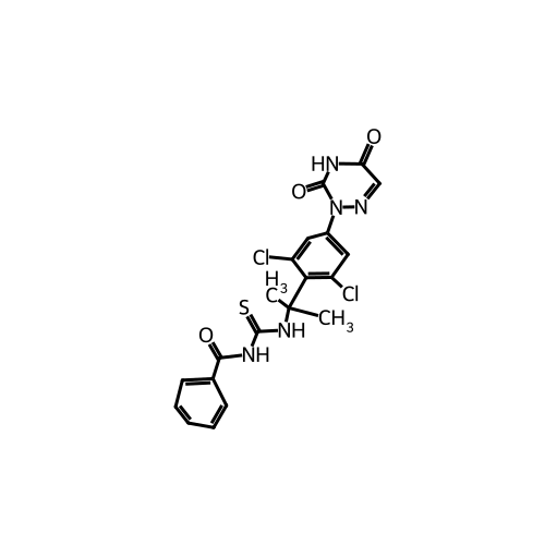 CC(C)(NC(=S)NC(=O)c1ccccc1)c1c(Cl)cc(-n2ncc(=O)[nH]c2=O)cc1Cl